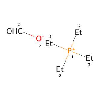 CC[P+](CC)(CC)CC.O=C[O-]